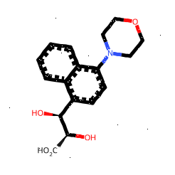 O=C(O)[C@H](O)[C@@H](O)c1ccc(N2CCOCC2)c2ccccc12